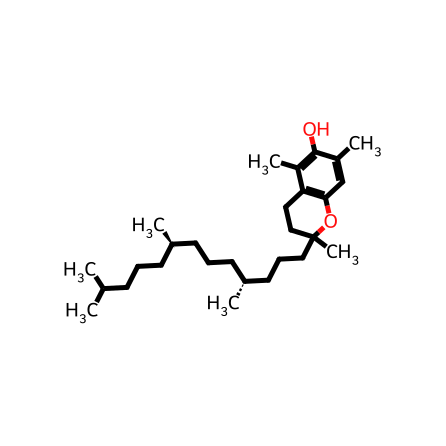 Cc1cc2c(c(C)c1O)CCC(C)(CCC[C@H](C)CCC[C@H](C)CCCC(C)C)O2